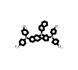 FC(F)(F)c1ccc(N(c2ccc(C(F)(F)F)cc2)c2ccc3cc4c5ccc(N(c6ccc(C(F)(F)F)cc6)c6ccc(C(F)(F)F)cc6)cc5n(-c5ccc6ccccc6c5)c4cc3c2)cc1